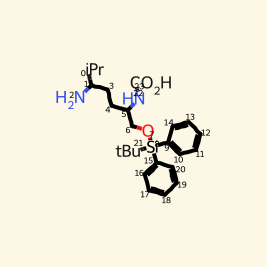 CC(C)C(N)CCC(CO[Si](c1ccccc1)(c1ccccc1)C(C)(C)C)NC(=O)O